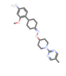 COc1cc(N)ccc1C1CCC(=NOC2CCN(c3ncc(C)cn3)CC2)CC1